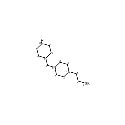 CC(C)(C)CCN1CCN(CC2CCNCC2)CC1